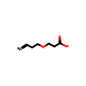 C=CCCOCCC(=O)O